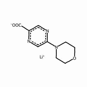 O=C([O-])c1cnc(N2CCOCC2)cn1.[Li+]